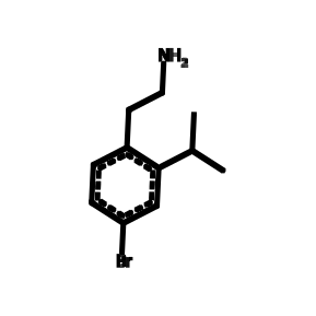 CC(C)c1cc(Br)ccc1CCN